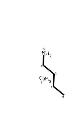 CCCCN.[CaH2]